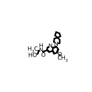 COc1cc(N2CCC3(CCCC3)CC2)c2ncc(C(=O)N[C@H](C)CO)cc2c1